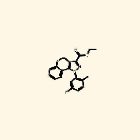 CCOC(=O)c1nn(-c2cc(F)ccc2C)c2c1CSc1ccccc1-2